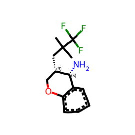 CC(C)(C[C@H]1COc2ccccc2[C@H]1N)C(F)(F)F